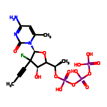 CC#CC1(F)[C@@H](O)C([C@@H](C)OP(=O)(O)OP(=O)(O)OP(=O)(O)O)O[C@H]1n1c(C)cc(N)nc1=O